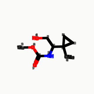 COC1(C(CO)NC(=O)OC(C)(C)C)CC1